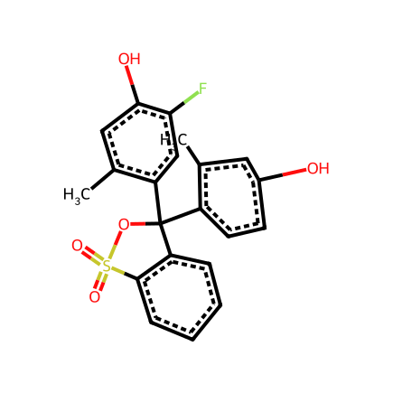 Cc1cc(O)ccc1C1(c2cc(F)c(O)cc2C)OS(=O)(=O)c2ccccc21